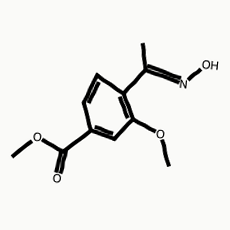 COC(=O)c1ccc(/C(C)=N/O)c(OC)c1